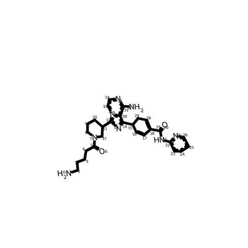 NCCCCC(=O)N1CCCC(c2nc(C3C=CC(C(=O)Nc4ccccn4)=CC3)c3c(N)nccn23)C1